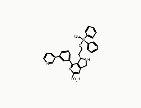 CC(C)(C)[Si](OCC[C@H]1NCc2cc(C(=O)O)nc(-c3cccc(-c4cccnc4)c3)c21)(c1ccccc1)c1ccccc1